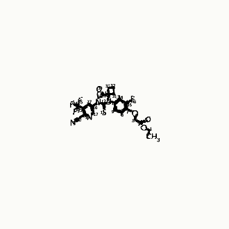 CCOC(=O)COc1ccc(N(C(=S)N(C)c2cnc(C#N)c(C(F)(F)F)c2)C2(C=O)CCC2)cc1F